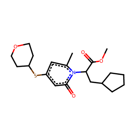 COC(=O)C(CC1CCCC1)n1c(C)cc(SC2CCOCC2)cc1=O